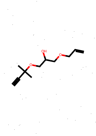 C#CC(C)(C)OCC(O)COCC=C